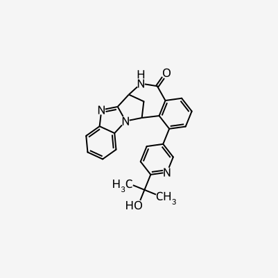 CC(C)(O)c1ccc(-c2cccc3c2C2CC(NC3=O)c3nc4ccccc4n32)cn1